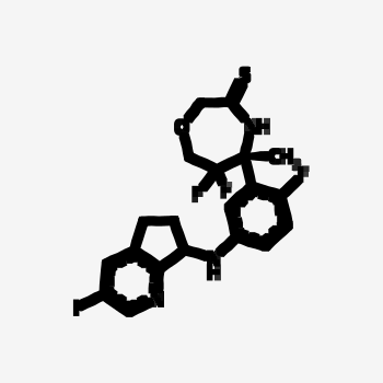 C[C@]1(c2cc(NC3CCc4cc(I)cnc43)ccc2F)NC(=S)COCC1(F)F